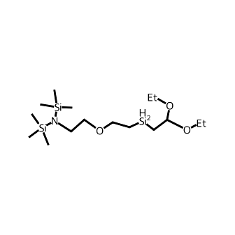 CCOC(C[SiH2]CCOCCN([Si](C)(C)C)[Si](C)(C)C)OCC